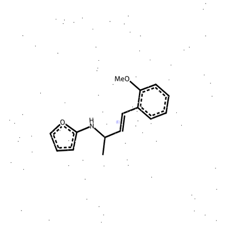 COc1ccccc1/C=C/C(C)Nc1ccco1